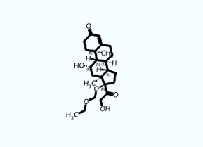 CCOCO[C@]1(C(=O)CO)CC[C@H]2[C@@H]3CCC4=CC(=O)CC[C@]4(C)[C@H]3[C@@H](O)C[C@@]21C